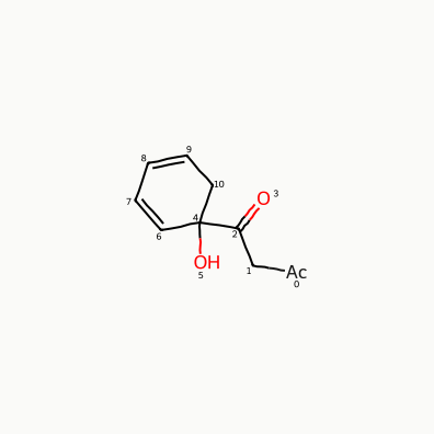 CC(=O)CC(=O)C1(O)C=CC=CC1